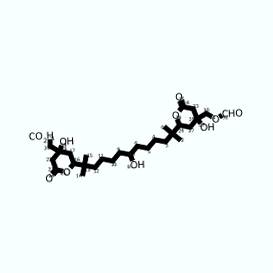 CC(C)(CCCCC(O)CCCCC(C)(C)C1CC(O)(CC(=O)O)CC(=O)O1)C1CC(O)(COC=O)CC(=O)O1